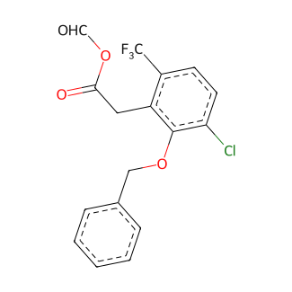 O=COC(=O)Cc1c(C(F)(F)F)ccc(Cl)c1OCc1ccccc1